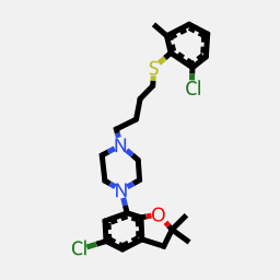 Cc1cccc(Cl)c1SCCCCN1CCN(c2cc(Cl)cc3c2OC(C)(C)C3)CC1